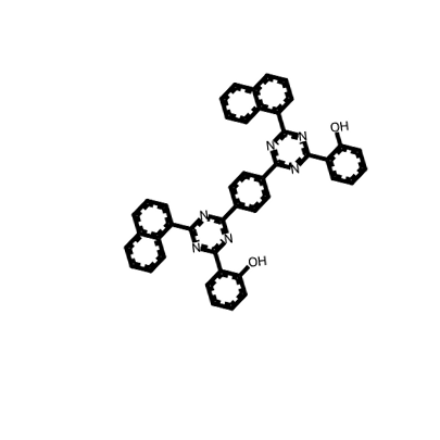 Oc1ccccc1-c1nc(-c2ccc(-c3nc(-c4ccccc4O)nc(-c4cccc5ccccc45)n3)cc2)nc(-c2cccc3ccccc23)n1